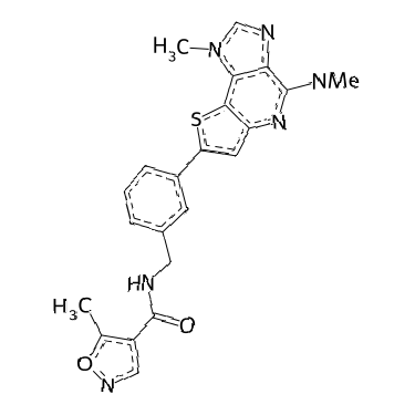 CNc1nc2cc(-c3cccc(CNC(=O)c4cnoc4C)c3)sc2c2c1ncn2C